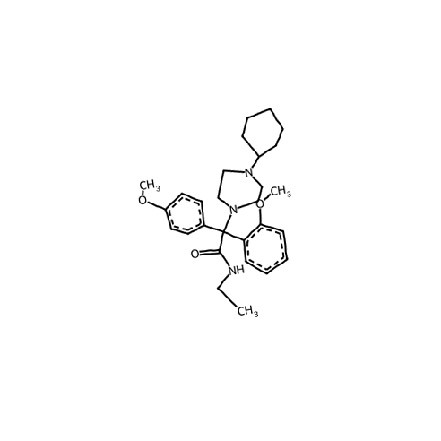 CCNC(=O)C(c1ccc(OC)cc1)(c1ccccc1OC)N1CCN(C2CCCCC2)CC1